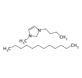 CCCCCCCCCCCC.CCCCN1C=CN(C)C1